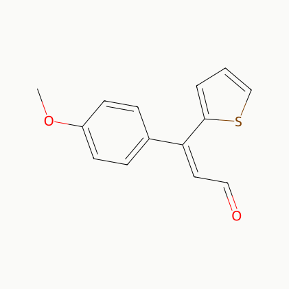 COc1ccc(C(=CC=O)c2cccs2)cc1